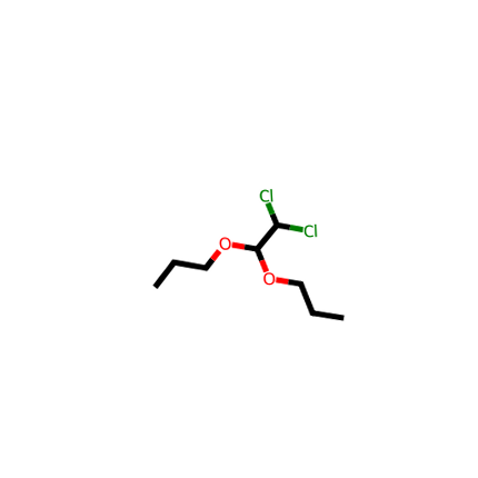 CCCOC(OCCC)C(Cl)Cl